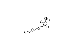 CCOCCOCCN1C(=O)CC(C)C1=O